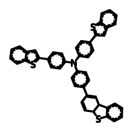 C1=CC2Sc3ccccc3C2C=C1c1ccc(N(c2ccc(-c3cc4ccccc4s3)cc2)c2ccc(-c3cc4ccccc4s3)cc2)cc1